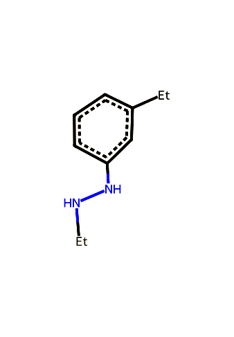 CCNNc1cccc(CC)c1